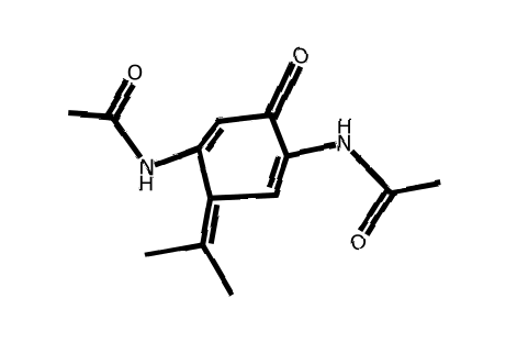 CC(=O)NC1=CC(=C(C)C)C(NC(C)=O)=CC1=O